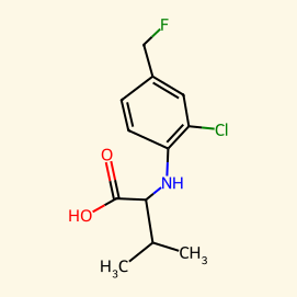 CC(C)C(Nc1ccc(CF)cc1Cl)C(=O)O